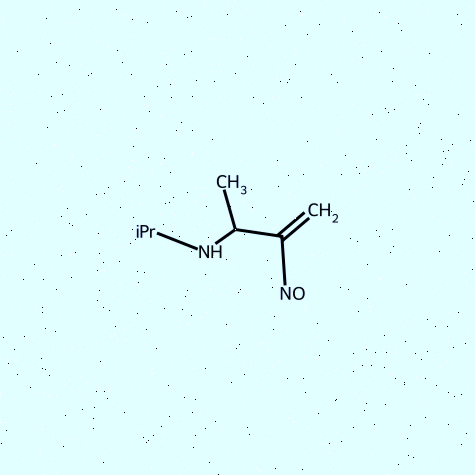 C=C(N=O)C(C)NC(C)C